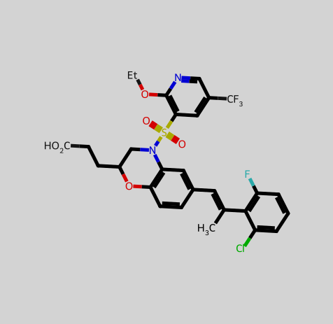 CCOc1ncc(C(F)(F)F)cc1S(=O)(=O)N1CC(CCC(=O)O)Oc2ccc(C=C(C)c3c(F)cccc3Cl)cc21